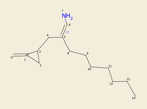 C=C1CC1C/C(=C\N)CCCCCCC